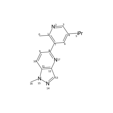 Cc1ncc(C(C)C)cc1-c1ccc2c(cnn2C)n1